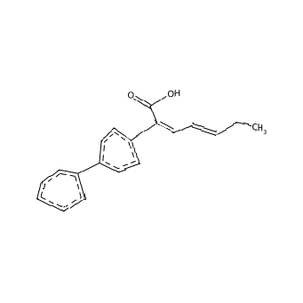 CCC=CC=C(C(=O)O)c1ccc(-c2ccccc2)cc1